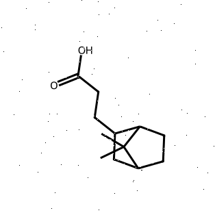 CC1(C)C2CCC1C(CCC(=O)O)C2